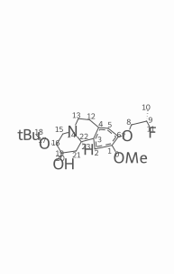 COc1cc2c(cc1OC[C@H](C)F)CCN1C[C@@H](OC(C)(C)C)[C@H](O)C[C@H]21